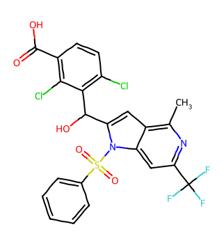 Cc1nc(C(F)(F)F)cc2c1cc(C(O)c1c(Cl)ccc(C(=O)O)c1Cl)n2S(=O)(=O)c1ccccc1